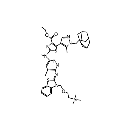 CCOC(=O)c1nc(N(C)c2cc(C)c(/N=c3\sc4ccccc4n3COCC[Si](C)(C)C)nn2)sc1-c1cnn(CC23CC4CC(CC(C4)C2)C3)c1C